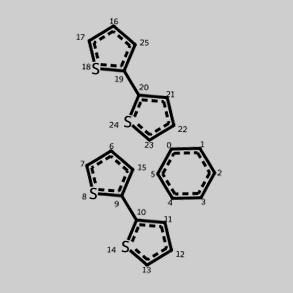 c1ccccc1.c1csc(-c2cccs2)c1.c1csc(-c2cccs2)c1